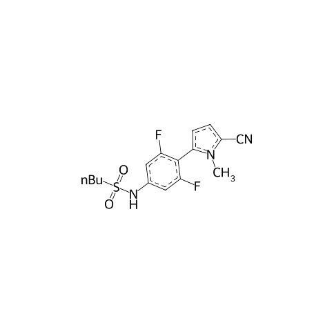 CCCCS(=O)(=O)Nc1cc(F)c(-c2ccc(C#N)n2C)c(F)c1